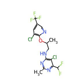 Cc1nc(NCC(C)Oc2ncc(C(F)(F)F)cc2Cl)c(Cl)c(C(F)F)n1